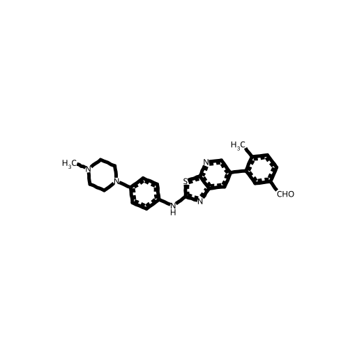 Cc1ccc(C=O)cc1-c1cnc2sc(Nc3ccc(N4CCN(C)CC4)cc3)nc2c1